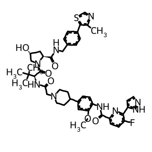 COc1cc(C2CCN(CC(=O)N[C@H](C(=O)N3C[C@H](O)C[C@H]3C(=O)NCc3ccc(-c4scnc4C)cc3)C(C)(C)C)CC2)ccc1NC(=O)c1ccc(F)c(-c2ccn[nH]2)n1